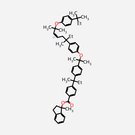 CCC(C)(C)c1ccc(OC(C)(C)/C=C\CC(C)(CC)c2ccc(OC(C)(C)c3ccc(C(C)(CC)c4ccc(C(=O)OC5(C)CCc6ccccc65)cc4)cc3)cc2)cc1